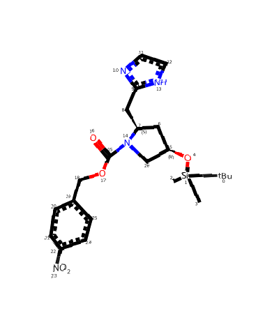 CC(C)(C)[Si](C)(C)O[C@@H]1C[C@H](Cc2ncc[nH]2)N(C(=O)OCc2ccc([N+](=O)[O-])cc2)C1